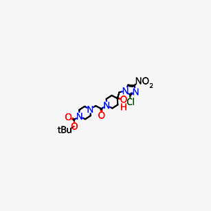 CC(C)(C)OC(=O)N1CCN(CC(=O)N2CCC(O)(Cn3cc([N+](=O)[O-])nc3Cl)CC2)CC1